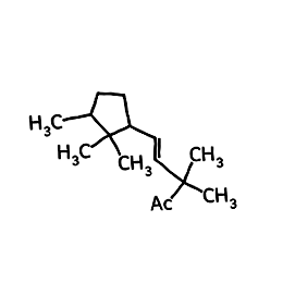 CC(=O)C(C)(C)C=CC1CCC(C)C1(C)C